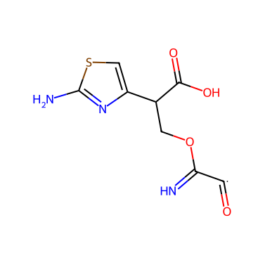 N=C([C]=O)OCC(C(=O)O)c1csc(N)n1